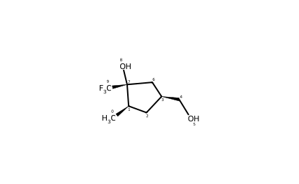 C[C@@H]1C[C@H](CO)C[C@]1(O)C(F)(F)F